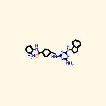 Nc1nc(NCc2ccc(C(=O)Nc3ccccc3N)cc2)nc(NC2CCc3ccccc32)n1